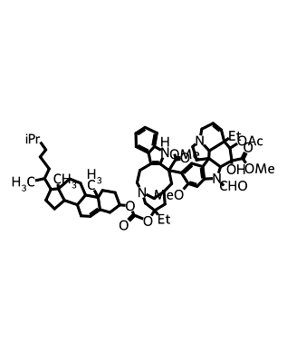 CCC1(OC(=O)OC2CCC3(C)C(=CCC4C3CCC3(C)C(C(C)CCCC(C)C)CCC43)C2)CC2CN(CCc3c([nH]c4ccccc34)C(C(=O)OC)(c3cc4c(cc3OC)N(C=O)C3C(O)(C(=O)OC)C(OC(C)=O)C5(CC)C=CCN6CCC43C65)C2)C1